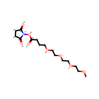 COCCOCCOCCOCCCC(=O)ON1C(=O)CCC1=O